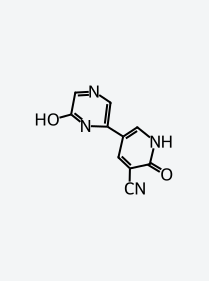 N#Cc1cc(-c2cncc(O)n2)c[nH]c1=O